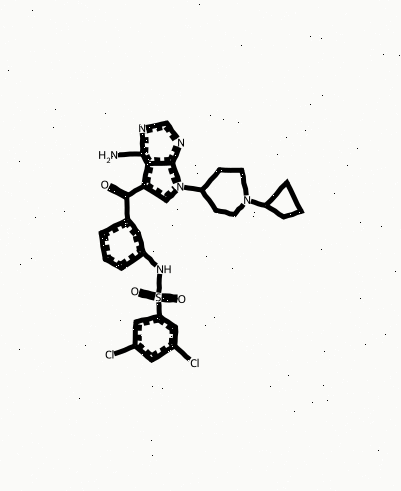 Nc1ncnc2c1c(C(=O)c1cccc(NS(=O)(=O)c3cc(Cl)cc(Cl)c3)c1)cn2C1CCN(C2CCC2)CC1